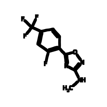 CNc1noc(-c2ccc(C(F)(F)F)cc2F)n1